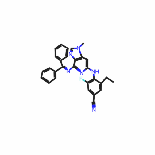 CCc1cc(C#N)cc(F)c1Nc1cc2c(ncn2C)c(N=C(c2ccccc2)c2ccccc2)n1